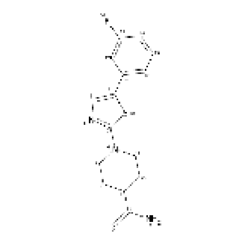 C=C(N)C1CCN(c2ncc(-c3cccc(F)c3)s2)CC1